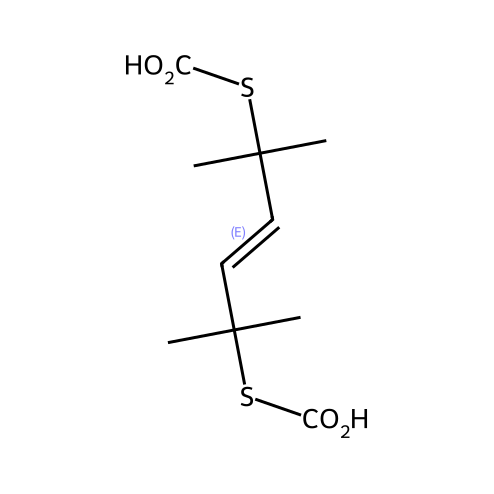 CC(C)(/C=C/C(C)(C)SC(=O)O)SC(=O)O